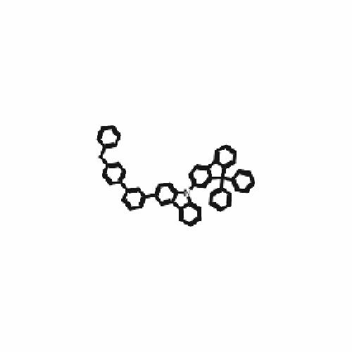 c1ccc(Cc2ccc(-c3cccc(-c4ccc5c(c4)c4ccccc4n5-c4ccc5c(c4)C(c4ccccc4)(c4ccccc4)c4ccccc4-5)c3)cc2)cc1